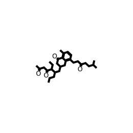 CCCC(CC1CC(=O)c2c(C)ccc(CCC(=O)CCC(C)C)c2C1)C(CC)C(=O)CC(C)=O